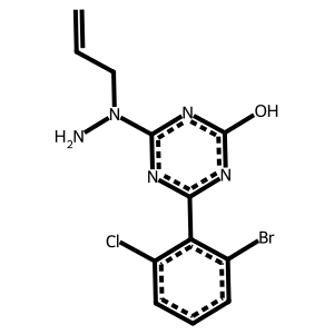 C=CCN(N)c1nc(O)nc(-c2c(Cl)cccc2Br)n1